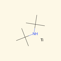 CC(C)(C)NC(C)(C)C.[Ti]